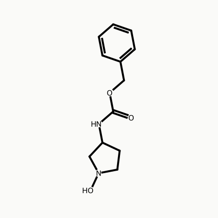 O=C(NC1CCN(O)C1)OCc1ccccc1